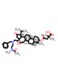 CC(=O)N(C)CCN(Cc1ccccc1)C[C@H](O)[C@@]12CC[C@]3(C)[C@H](CC[C@@H]4[C@@]5(C)CC[C@H](OC(=O)CC(C)(C)C(=O)O)C(C)(C)[C@@H]5CC[C@]43C)C1=C(C(C)C)C(=O)C2